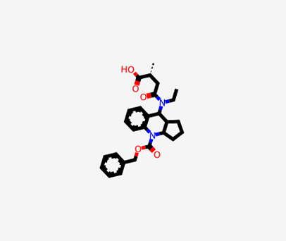 CCN(C(=O)C[C@@H](C)C(=O)O)C1c2ccccc2N(C(=O)OCc2ccccc2)C2CCCC12